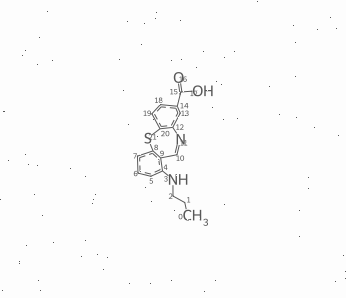 CCCNc1cccc2c1C=Nc1cc(C(=O)O)ccc1S2